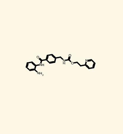 Nc1ccccc1NC(=O)c1ccc(CNC(=O)OCCc2ccccn2)cc1